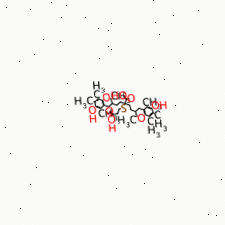 Cc1c(C)c2c(c(C)c1O)CC(CCC(CCC1Cc3c(C)c(O)c(C)c(C)c3OC1C)(SCCC(=O)O)C(=O)O)C(C)O2